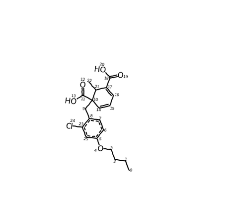 CCCCOc1ccc(CC2(C(=O)O)C=CC=C(C(=O)O)C2C)c(Cl)c1